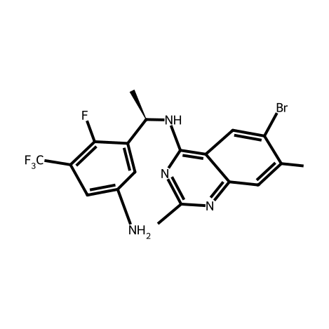 Cc1nc(N[C@H](C)c2cc(N)cc(C(F)(F)F)c2F)c2cc(Br)c(C)cc2n1